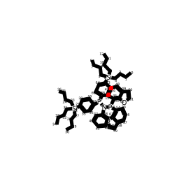 CCCC[Si](CCCC)(CCCC)c1ccc(P(c2ccc([Si](CCCC)(CCCC)CCCC)cc2)N(c2ccccc2)P(c2cccc3ccoc23)c2cccc3ccoc23)cc1